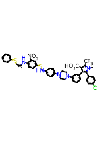 C[C@H](CSc1ccccc1)Nc1ccc(SNc2ccc(N3CCN(c4cccc(-c5c(C(=O)O)c(C(F)(F)F)n(C)c5-c5ccc(Cl)cc5)c4)CC3)cc2)cc1[N+](=O)[O-]